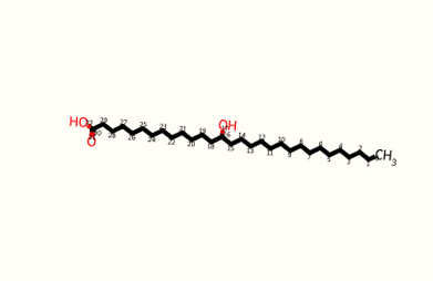 CCCCCCCCCCCCCCCCC(O)CCCCCCCCCCCCC(=O)O